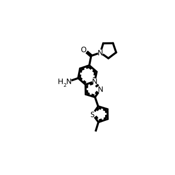 Cc1ccc(-c2cc3c(N)cc(C(=O)N4CCCC4)cn3n2)s1